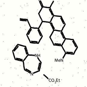 C1=CNc2ccccc2C=N1.C=Cc1ccccc1C1CC(=O)C(C)=c2ccc3c(c21)CC=c1c(NC)cccc1=3.CCOC(C)=O